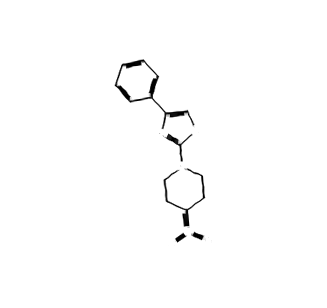 O=S(=O)=C1CCN(c2nc(-c3ccccc3)cs2)CC1